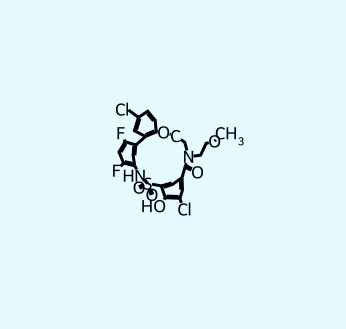 COCCN1CCOc2ccc(Cl)cc2-c2cc(c(F)cc2F)NS(=O)(=O)c2cc(cc(Cl)c2O)C1=O